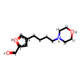 O=Cc1cc(CCCCN2CCOCC2)co1